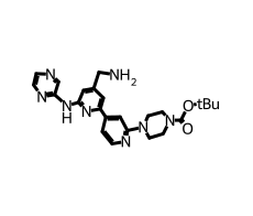 CC(C)(C)OC(=O)N1CCN(c2cc(-c3cc(CN)cc(Nc4cnccn4)n3)ccn2)CC1